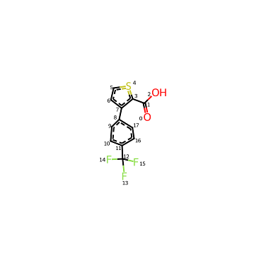 O=C(O)c1sccc1-c1ccc(C(F)(F)F)cc1